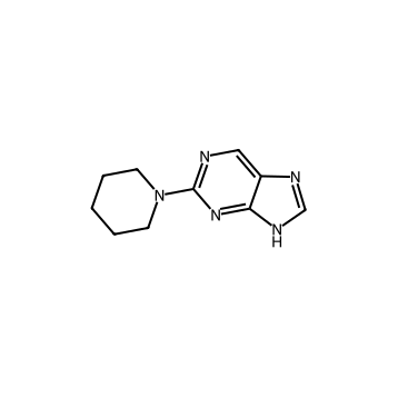 c1nc2cnc(N3CCCCC3)nc2[nH]1